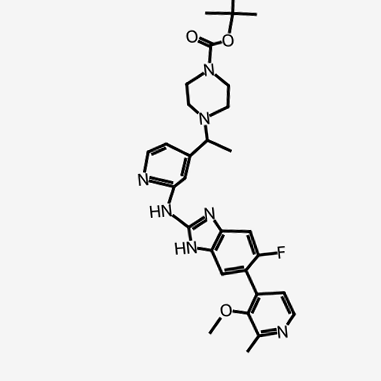 COc1c(-c2cc3[nH]c(Nc4cc(C(C)N5CCN(C(=O)OC(C)(C)C)CC5)ccn4)nc3cc2F)ccnc1C